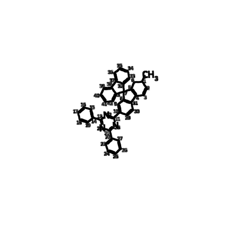 CC1C=CC2=C(C1)C1(c3cc(-c4nc(-c5ccccc5)nc(-c5ccccc5)n4)ccc32)c2ccccc2-c2ccccc21